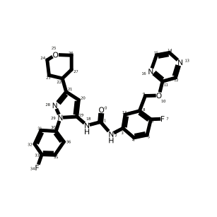 O=C(Nc1ccc(F)c(COc2cnccn2)c1)Nc1cc(C2CCOCC2)nn1-c1ccc(F)cc1